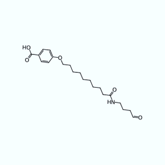 O=CCCCNC(=O)CCCCCCCCCOc1ccc(C(=O)O)cc1